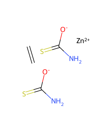 C=C.NC([O-])=S.NC([O-])=S.[Zn+2]